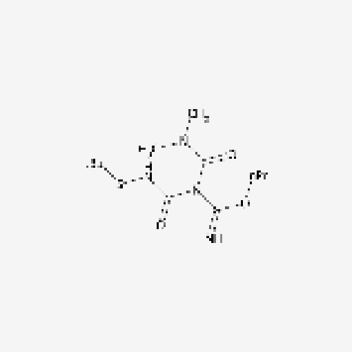 CCCOC(=N)N(C(=O)NSC(C)(C)C)C(=O)N(C)C